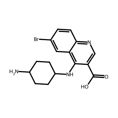 NC1CCC(Nc2c(C(=O)O)cnc3ccc(Br)cc23)CC1